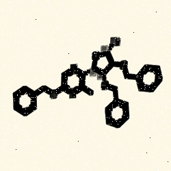 CC[C@H]1O[C@@H](c2ncc(OCc3ccccc3)nc2C)[C@@H](OCc2ccccc2)C1OCc1ccccc1